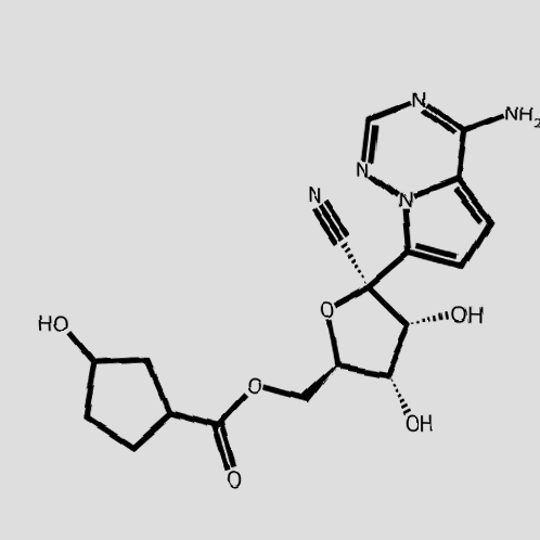 N#C[C@@]1(c2ccc3c(N)ncnn23)O[C@H](COC(=O)C2CCC(O)C2)[C@@H](O)[C@H]1O